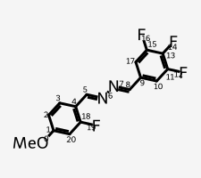 COc1ccc(C=NN=Cc2cc(F)c(F)c(F)c2)c(F)c1